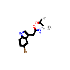 CC[C@H](C)[C@H](NC(=O)Cc1c[nH]c2ccc(Br)cc12)C(=O)C(C)C